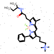 CC1=CC(CCC(=O)NC(CS(=O)(=O)O)C(=O)O)=[N+]2C1=Cc1c(CCC[N+](C)(C)C)cc(-c3ccccc3)n1[B-]2(F)F